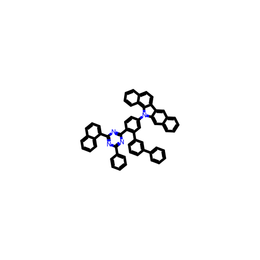 c1ccc(-c2cccc(-c3cc(-n4c5cc6ccccc6cc5c5ccc6ccccc6c54)ccc3-c3nc(-c4ccccc4)nc(-c4cccc5ccccc45)n3)c2)cc1